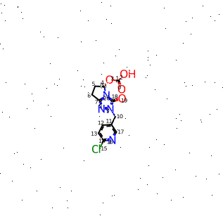 O=C(O)O[C@H]1CCc2nn(Cc3ccc(Cl)nc3)c(=O)n21